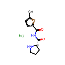 Cl.N#Cc1ccc(C(=O)NC(=O)[C@@H]2CCCN2)s1